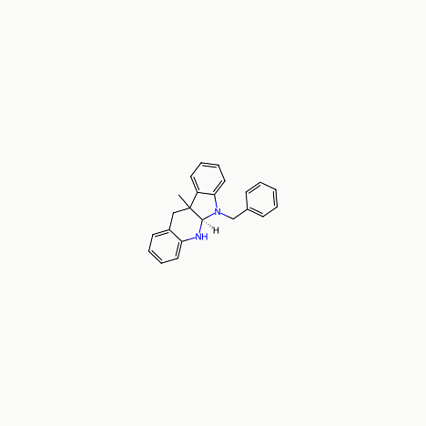 CC12Cc3ccccc3N[C@@H]1N(Cc1ccccc1)c1ccccc12